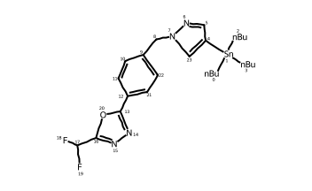 CCC[CH2][Sn]([CH2]CCC)([CH2]CCC)[c]1cnn(Cc2ccc(-c3nnc(C(F)F)o3)cc2)c1